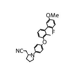 COc1ccc(F)c(-c2cccc(Oc3ccc(N4CCC[C@H]4CC#N)cc3)c2C)c1